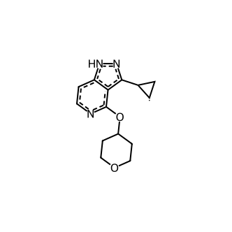 [CH]1CC1c1n[nH]c2ccnc(OC3CCOCC3)c12